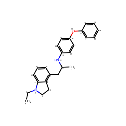 CCN1CCc2c(CC(C)Nc3ccc(Oc4ccccc4)cc3)cccc21